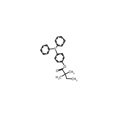 CCC(C)(C)C(=O)Oc1ccc([S+](c2ccccc2)c2ccccc2)cc1